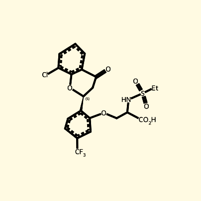 CCS(=O)(=O)NC(COc1cc(C(F)(F)F)ccc1[C@@H]1CC(=O)c2cccc(Cl)c2O1)C(=O)O